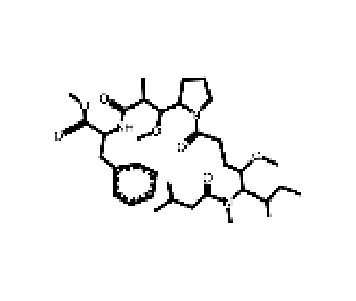 CCC(C)C(C(CCC(=O)N1CCCC1C(OC)C(C)C(=O)NC(Cc1ccccc1)C(=O)OC)OC)N(C)C(=O)CC(C)C